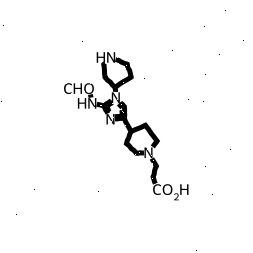 O=CNc1nc(C2CCN(CCC(=O)O)CC2)cn1C1CCNCC1